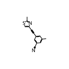 Cc1cc(C#N)cc(C#Cc2csc(C)n2)c1